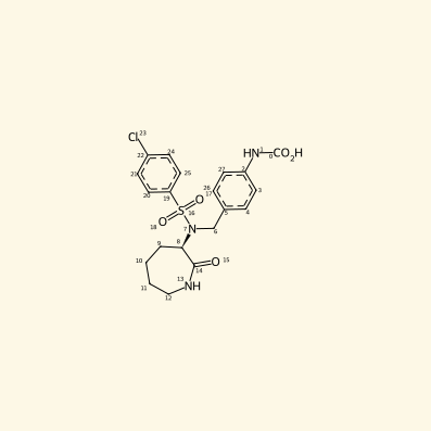 O=C(O)Nc1ccc(CN([C@@H]2CCCCNC2=O)S(=O)(=O)c2ccc(Cl)cc2)cc1